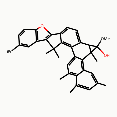 COC1(O)C2c3ccc4c(c3-c3cc(C)c5c(C)cc(C)cc5c3C21C)C(C)(C)c1c-4oc2ccc(C(C)C)cc12